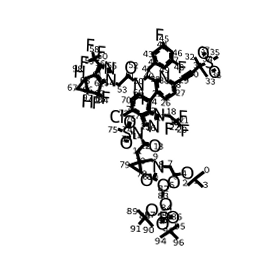 CC(C)(C)OC(=O)CN(CC1(CC(=O)N(c2nn(CC(F)(F)F)c3c(-c4ccc(C#CC(C)(C)S(C)(=O)=O)nc4[C@H](Cc4cc(F)cc(F)c4)NC(=O)Cn4nc(C(F)(F)F)c5c4C(F)(F)[C@@H]4C[C@H]54)ccc(Cl)c23)S(C)(=O)=O)CC1)C(=O)OCOP(=O)(OC(C)(C)C)OC(C)(C)C